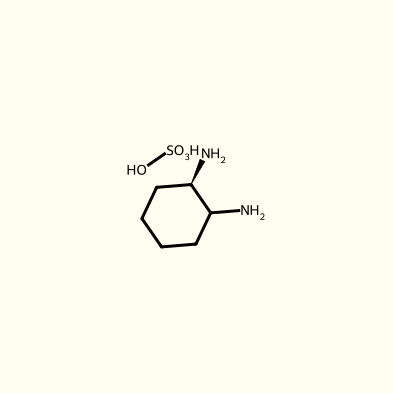 NC1CCCC[C@H]1N.O=S(=O)(O)O